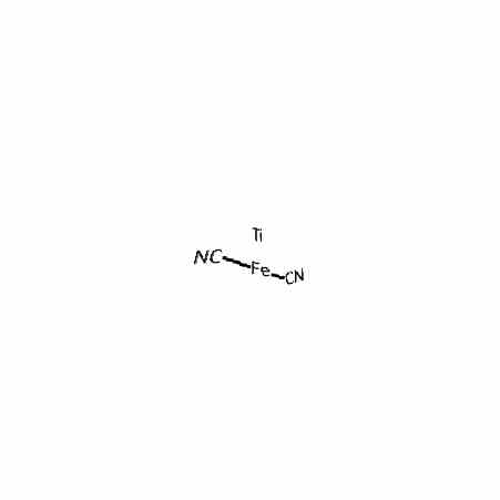 N#[C][Fe][C]#N.[Ti]